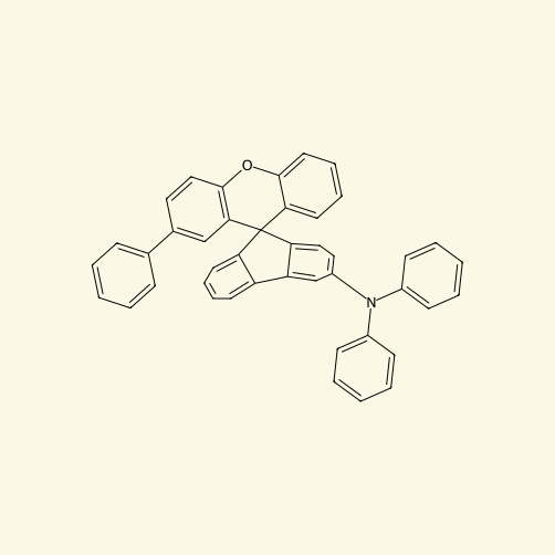 c1ccc(-c2ccc3c(c2)C2(c4ccccc4O3)c3ccccc3-c3cc(N(c4ccccc4)c4ccccc4)ccc32)cc1